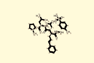 CC(C)C[C@@H](C(=O)NN(CC(C)C)C(=O)[C@H]1CCCN1C)[C@H](CC=Cc1ccccc1)C(=O)NO.Cc1ccc(S(=O)(=O)O)cc1